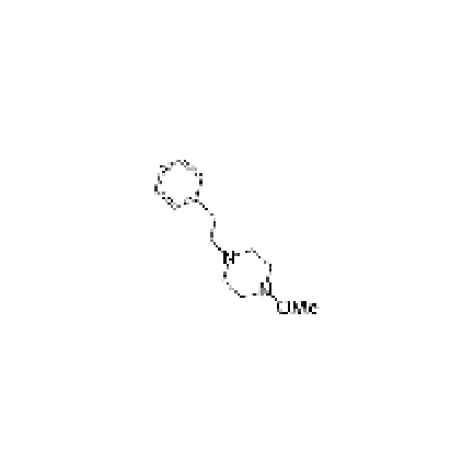 CON1CCN(CCc2ccccc2)CC1